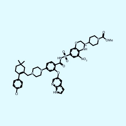 COC(=O)N1CCC([C@@H]2COc3cc(S(=O)(=O)NC(=O)c4ccc(N5CCN(CC6=C(c7ccc(Cl)cc7)CCC(C)(C)C6)CC5)cc4Oc4cnc5[nH]ccc5c4)cc([N+](=O)[O-])c3N2)CC1